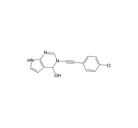 OC1c2cc[nH]c2N=CN1C#Cc1ccc(Cl)cc1